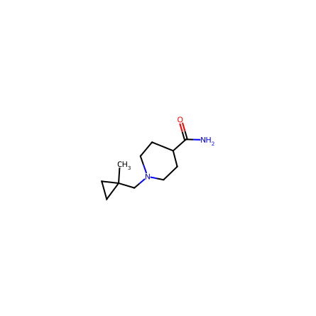 CC1(CN2CCC(C(N)=O)CC2)CC1